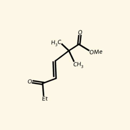 CCC(=O)C=CC(C)(C)C(=O)OC